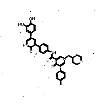 Cc1ccc(-c2cn(CC3CCOCC3)cc(C(=O)Nc3ccc(C4=CC(c5ccc(O)c(O)c5)=CNC4N)cc3)c2=O)cc1